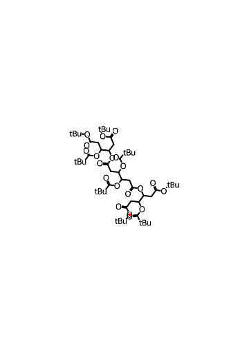 CC(C)(C)OC(=O)CC(OC(=O)CC(OC(=O)C(C)(C)C)C(CC(=O)OC(CC(=O)OC(C)(C)C)C(CC(=O)OC(C)(C)C)OC(=O)C(C)(C)C)OC(=O)C(C)(C)C)C(CC(=O)OC(C)(C)C)OC(=O)C(C)(C)C